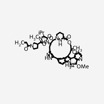 C=CC(=O)N1CCC(C(=O)N(C)[C@H](C(=O)N[C@H]2Cc3cc([nH]n3)-c3ccc4c(c3)c(c(-c3cccnc3[C@H](C)OC)n4CC)CC(C)(C)COC(=O)[C@@H]3CCCN(N3)C2=O)C(C)C)C1